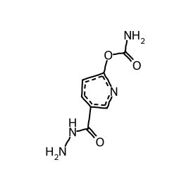 NNC(=O)c1ccc(OC(N)=O)nc1